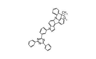 CC1(C)c2ccccc2-n2c3ccc4c(ccn4-c4cccc(-c5nc(-c6ccccc6)nc(-c6ccccc6)n5)c4)c3c3cccc1c32